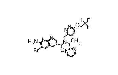 C[C@H](c1ncccn1)N(Cc1ccc(OCC(F)(F)F)nn1)C(=O)c1cnc2nc(N)c(Br)cc2c1